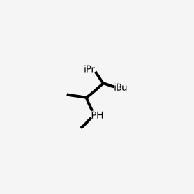 CCC(C)C(C(C)C)C(C)PC